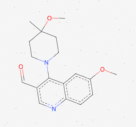 COc1ccc2ncc(C=O)c(N3CCC(C)(OC)CC3)c2c1